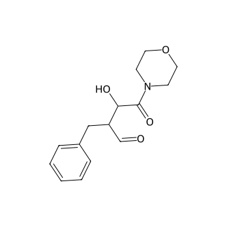 O=CC(Cc1ccccc1)C(O)C(=O)N1CCOCC1